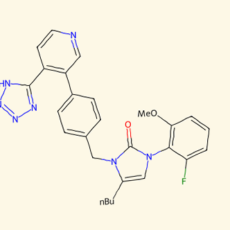 CCCCc1cn(-c2c(F)cccc2OC)c(=O)n1Cc1ccc(-c2cnccc2-c2nnn[nH]2)cc1